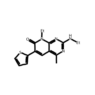 CCNc1nc(C)c2cc(-c3cccs3)c(=O)n(CC)c2n1